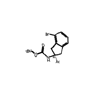 CC(=O)[C@@]1(NC(=O)OC(C)(C)C)Cc2cccc(Br)c2C1